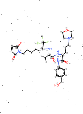 CC(C)[C@H](N[C@H](CCCCCN1C(=O)C=CC1=O)C(F)(F)F)C(=O)N[C@@H](CCCN1CCOCC1)C(=O)Nc1ccc(CO)cc1